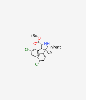 CCCCC[C@H]1N[C@@H](C(=O)OC(C)(C)C)[C@H](c2cccc(Cl)c2)[C@@]1(C#N)c1ccc(Cl)cc1